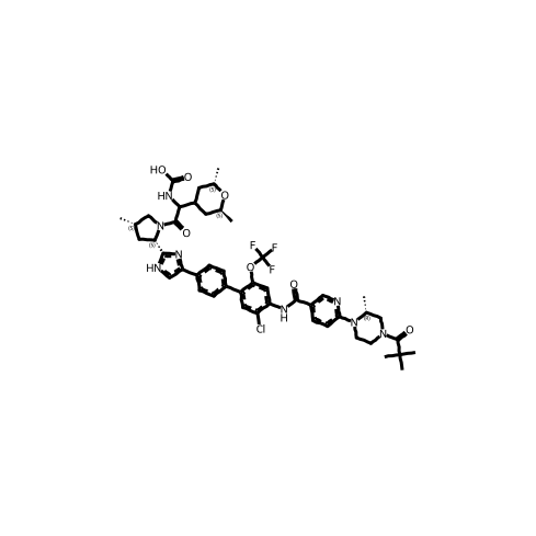 C[C@H]1C[C@@H](c2nc(-c3ccc(-c4cc(Cl)c(NC(=O)c5ccc(N6CCN(C(=O)C(C)(C)C)C[C@H]6C)nc5)cc4OC(F)(F)F)cc3)c[nH]2)N(C(=O)C(NC(=O)O)C2C[C@H](C)O[C@@H](C)C2)C1